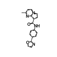 Cc1ccn2ccc(C(=O)Nc3ccc(-c4ncco4)cc3)c2n1